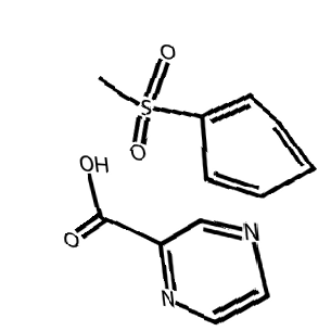 CS(=O)(=O)c1ccccc1.O=C(O)c1cnccn1